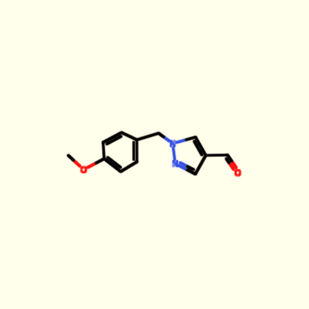 COc1ccc(Cn2cc(C=O)cn2)cc1